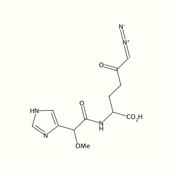 COC(C(=O)NC(CCC(=O)C=[N+]=[N-])C(=O)O)c1c[nH]cn1